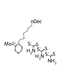 CCCCCCCCCCCCCCCCc1cccc[c]1[Mo+3].NC(=S)[S-].NC(=S)[S-].NC(=S)[S-]